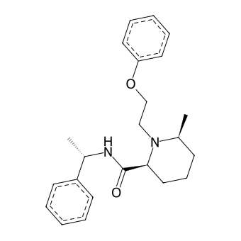 C[C@H](NC(=O)[C@@H]1CCC[C@H](C)N1CCOc1ccccc1)c1ccccc1